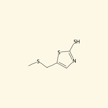 CSCc1cnc(S)s1